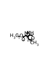 CCOC(=O)c1n[nH]c2c1CC(C)OC2